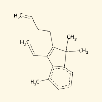 C=CCCC1=C(C=C)c2c(C)cccc2C1(C)C